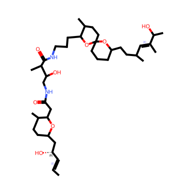 C/C=C/[C@H](O)CC1CCC(C)C(CC(=O)NCC(O)C(C)C(=O)NCCCC2OC3(CCCC(CCC(C)/C=C(\C)C(C)O)O3)CCC2C)O1